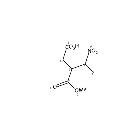 COC(=O)C(CC(=O)O)C(C)[N+](=O)[O-]